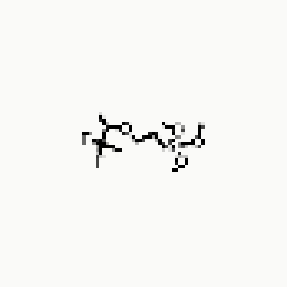 CO[Si](CCCOC(C)C(F)(F)F)(OC)OC